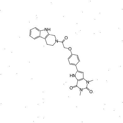 Cn1c(=O)c2[nH]c(-c3ccc(OCC(=O)N4CCc5c([nH]c6ccccc56)C4)cc3)cc2n(C)c1=O